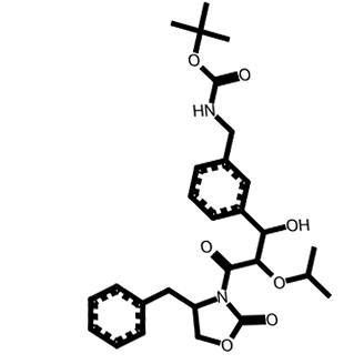 CC(C)OC(C(=O)N1C(=O)OCC1Cc1ccccc1)C(O)c1cccc(CNC(=O)OC(C)(C)C)c1